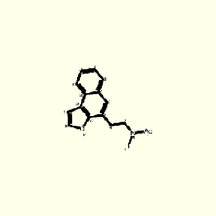 CC(=O)N(I)CCc1cc2ccccc2c2ccoc12